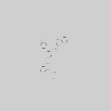 CC(C)(C)c1ccc2oc(C(=O)N/C(C=C3CCC(c4ccccc4CN4CCCCC4=O)CC3)=C\c3ccc(Cl)cc3)cc(=O)c2c1